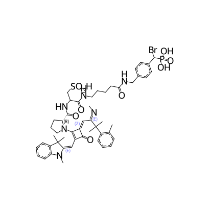 C/N=C(\C=C1/C(=O)C(/C=C2/N(C)c3ccccc3C2(C)C)=C1N1CCC[C@@H]1C(=O)NC(CS(=O)(=O)O)C(=O)NCCCCC(=O)NCc1ccc(C(Br)P(=O)(O)O)cc1)C(C)(C)c1ccccc1C